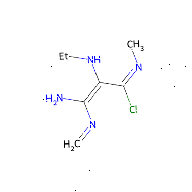 C=N/C(N)=C(NCC)\C(Cl)=N/C